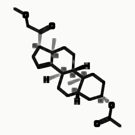 COCC(=O)[C@H]1CC=C2[C@@H]3CC[C@H]4C[C@@H](OC(C)=O)CC[C@]4(C)[C@H]3CC[C@@]21C